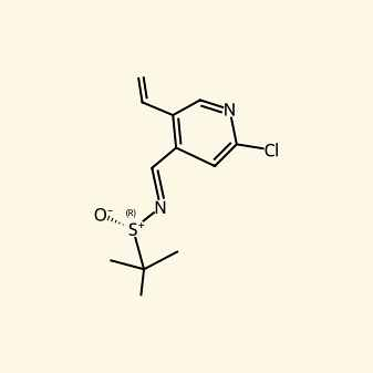 C=Cc1cnc(Cl)cc1C=N[S@@+]([O-])C(C)(C)C